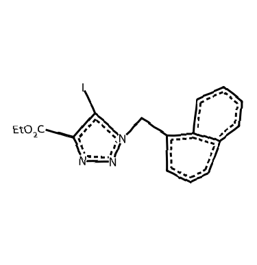 CCOC(=O)c1nnn(Cc2cccc3ccccc23)c1I